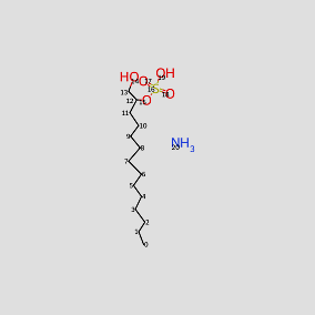 CCCCCCCCCCCCC(CO)OS(=O)(=O)O.N